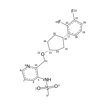 CS(=O)(=O)Nc1cccnc1CO[C@H]1CC[C@@H](c2cccc(F)c2F)CC1